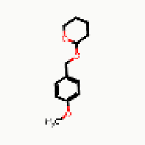 COc1ccc([CH]OC2CCCCO2)cc1